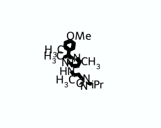 COc1ccc(-c2c(C)nn3c(NC(C)Cc4nc(C(C)C)no4)cc(C)nc23)c(C)c1